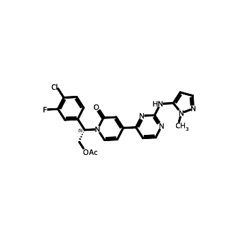 CC(=O)OC[C@H](c1ccc(Cl)c(F)c1)n1ccc(-c2ccnc(Nc3ccnn3C)n2)cc1=O